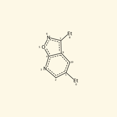 CCc1cnc2onc(CC)c2c1